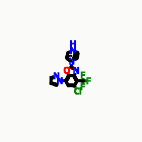 FC(F)(F)c1c(Cl)cc(-n2cccn2)c2oc(N3CC4CCCC3CN4)nc12